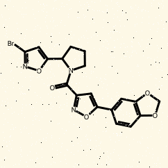 O=C(c1cc(-c2ccc3c(c2)OCO3)on1)N1CCCC1c1cc(Br)no1